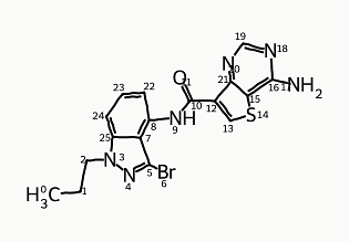 CCCn1nc(Br)c2c(NC(=O)c3csc4c(N)ncnc34)cccc21